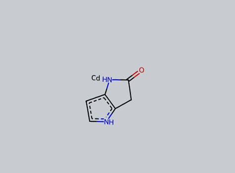 O=C1Cc2[nH]ccc2N1.[Cd]